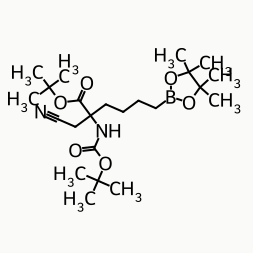 CC(C)(C)OC(=O)NC(CC#N)(CCCCB1OC(C)(C)C(C)(C)O1)C(=O)OC(C)(C)C